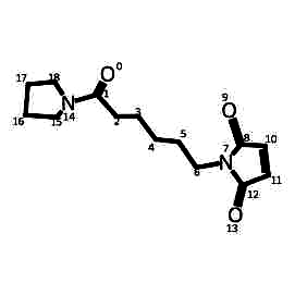 O=C(CCCCCN1C(=O)C=CC1=O)N1CCCC1